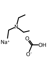 CCN(CC)CC.O=C([O-])O.[Na+]